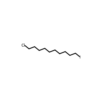 ClCCCCCCCCCCI